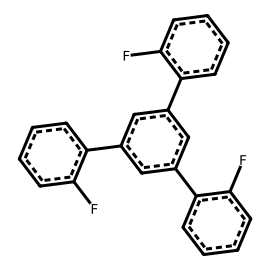 Fc1ccccc1-c1cc(-c2ccccc2F)cc(-c2ccccc2F)c1